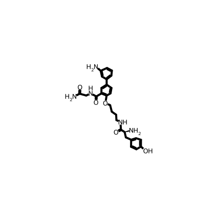 NC(=O)CNC(=O)c1cc(-c2cccc(N)c2)ccc1OCCCCNC(=O)[C@@H](N)Cc1ccc(O)cc1